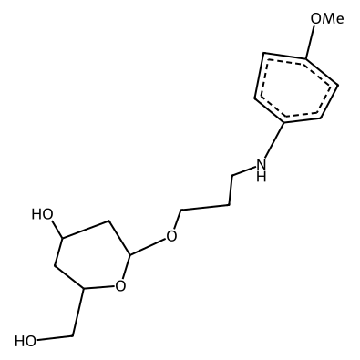 COc1ccc(NCCCOC2CC(O)CC(CO)O2)cc1